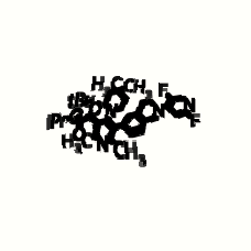 Cc1nc(C)c([C@H](OC(C)(C)C)C(=O)OC(C)C)c(N2CCC(C)(C)CC2)c1-c1ccc2c(c1)CCN(c1cc(F)ncc1F)C2